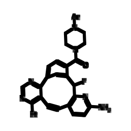 CCc1ncnc2c1C#Cc1ccc(N)nc1C(F)c1cc-2ccc1C(=O)N1CCN(C(C)=O)CC1